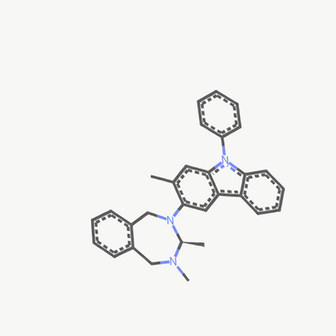 Cc1cc2c(cc1N1Cc3ccccc3CN(C)[C@@H]1C)c1ccccc1n2-c1ccccc1